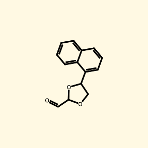 O=CC1OCC(c2cccc3ccccc23)O1